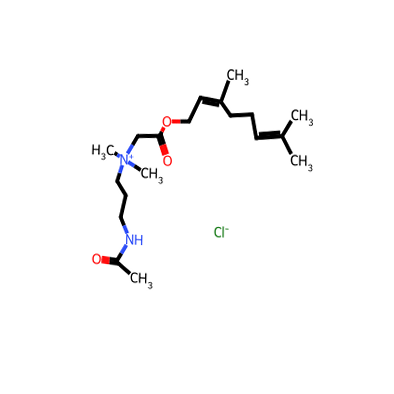 CC(=O)NCCC[N+](C)(C)CC(=O)OCC=C(C)CCC=C(C)C.[Cl-]